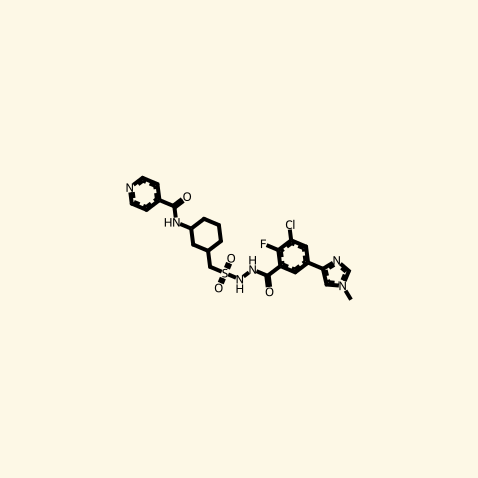 Cn1cnc(-c2cc(Cl)c(F)c(C(=O)NNS(=O)(=O)CC3CCCC(NC(=O)c4ccncc4)C3)c2)c1